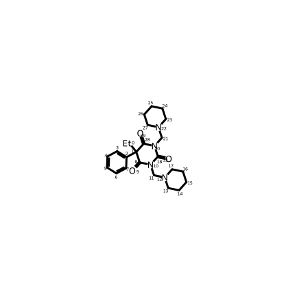 CCC1(c2ccccc2)C(=O)N(CN2CCCCC2)C(=O)N(CN2CCCCC2)C1=O